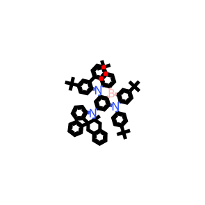 CC(C)(C)c1ccc(N2c3ccc(C(C)(C)C)cc3B3c4ccc(C(C)(C)C)cc4N(c4ccc(C(C)(C)C)cc4-c4ccccc4)c4cc(N5c6ccccc6C6(c7ccccc7)Cc7ccccc7CC56C)cc2c43)cc1